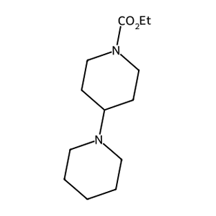 CCOC(=O)N1CCC(N2CCCCC2)CC1